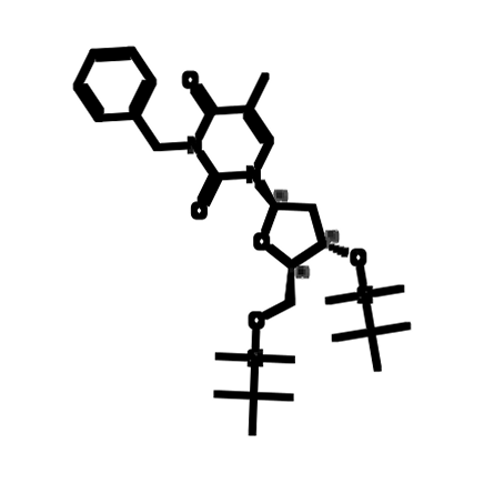 Cc1cn([C@H]2C[C@H](O[Si](C)(C)C(C)(C)C)[C@@H](CO[Si](C)(C)C(C)(C)C)O2)c(=O)n(Cc2ccccc2)c1=O